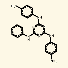 Nc1ccc(Nc2nc(Nc3ccccc3)nc(Nc3ccc(N)cc3)n2)cc1